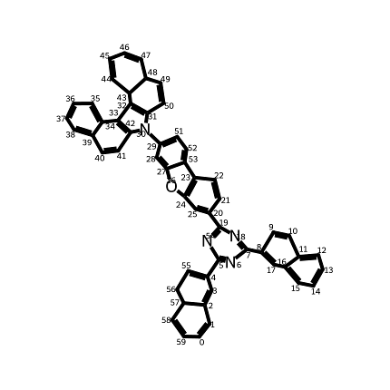 C1=CC2=CC(c3nc(-c4ccc5ccccc5c4)nc(-c4ccc5c(c4)oc4cc(-n6c7c(c8c9ccccc9ccc86)C6C=CC=CC6C=C7)ccc45)n3)=CCC2C=C1